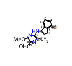 COc1nc(NC2CCc3c(Br)cccc32)c(C(F)(F)F)nc1C=O